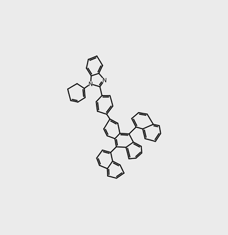 C1=CCCC(n2c(-c3ccc(-c4ccc5c(-c6cccc7ccccc67)c6ccccc6c(-c6cccc7ccccc67)c5c4)cc3)nc3ccccc32)=C1